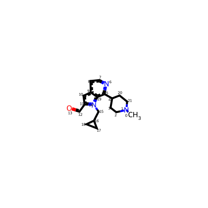 CN1CCC(c2nccc3cc(C=O)n(CC4CC4)c23)CC1